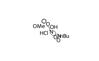 CCCCN1CC2(CCN(CC(O)COc3ccccc3OC)CC2)OC1=O.Cl